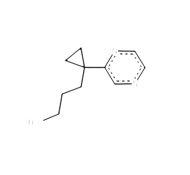 CCCCC1(c2cnccn2)CC1